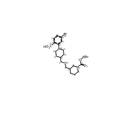 CC(C)(C)OC(=O)N1CCCC(COCC2CCN(c3cc(Br)ccc3C(=O)O)CC2)C1